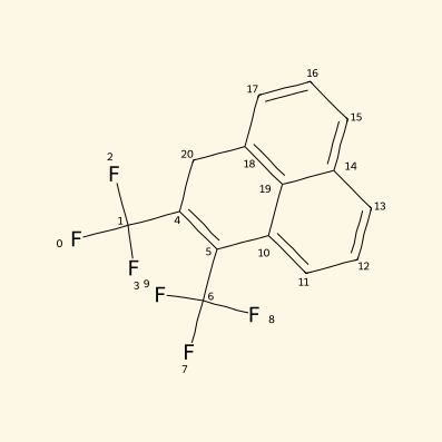 FC(F)(F)C1=C(C(F)(F)F)c2cccc3cccc(c23)C1